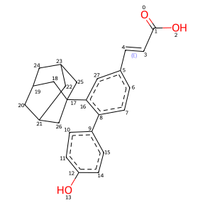 O=C(O)/C=C/c1ccc(-c2ccc(O)cc2)c(C23CC4CC(CC(C4)C2)C3)c1